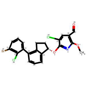 COc1nc(O[C@H]2CCc3c(-c4cccc(Br)c4Cl)cccc32)c(Cl)cc1C=O